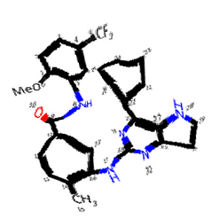 COc1ccc(C(F)(F)F)cc1NC(=O)c1ccc(C)c(Nc2nc(-c3ccccc3)c3[nH]ccc3n2)c1